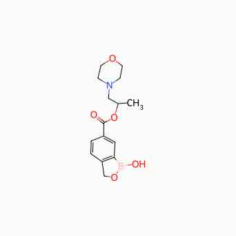 CC(CN1CCOCC1)OC(=O)c1ccc2c(c1)B(O)OC2